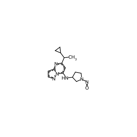 CC(c1cc(NC2CCN(N=O)C2)n2nccc2n1)C1CC1